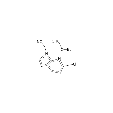 CCOC=O.N#CCn1ccc2ccc(Cl)nc21